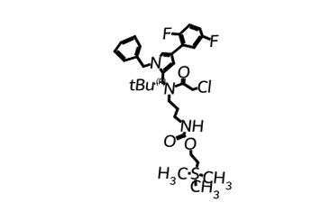 CC(C)(C)[C@H](c1cc(-c2cc(F)ccc2F)cn1Cc1ccccc1)N(CCCNC(=O)OCCS(C)(C)C)C(=O)CCl